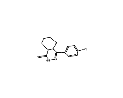 O=C1NN=C(c2ccc(Cl)cc2)C2CCCCC12